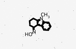 Cn1c2c(c3ccccc31)C(=NO)CCC2